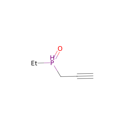 C#CC[PH](=O)CC